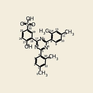 Cc1ccc(-c2nc(-c3ccc(C)cc3C)nc(-c3cc(S(=O)(=O)O)ccc3O)n2)c(C)c1